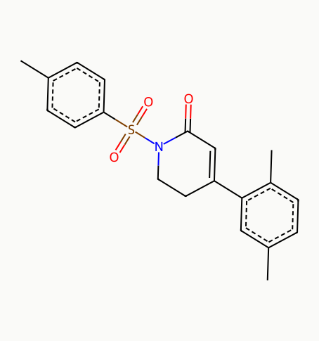 Cc1ccc(S(=O)(=O)N2CCC(c3cc(C)ccc3C)=CC2=O)cc1